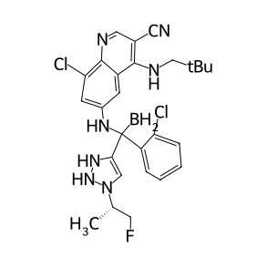 BC(Nc1cc(Cl)c2ncc(C#N)c(NCC(C)(C)C)c2c1)(C1=CN([C@@H](C)CF)NN1)c1ccccc1Cl